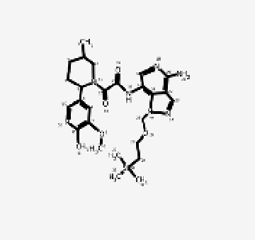 COc1cc(C2CCC(C)CN2C(=O)C(=O)Nc2cnc(N)c3cnn(COCC[Si](C)(C)C)c23)cnc1C